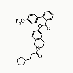 O=C(Oc1ccc2c(c1)CCN(C(=O)CCC1CCCC1)C2)c1ccccc1-c1ccc(C(F)(F)F)cc1